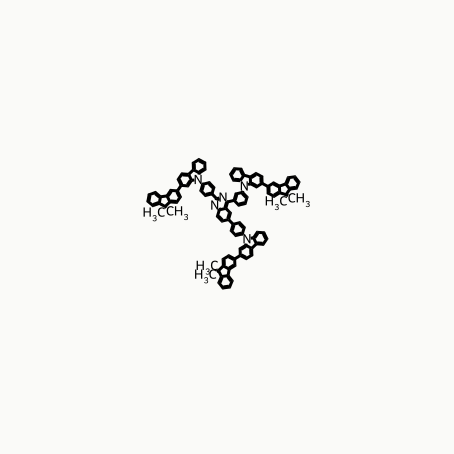 CC1(C)c2ccccc2-c2cc(-c3ccc4c5ccccc5n(-c5ccc(-c6ccc7nc(-c8ccc(-n9c%10ccccc%10c%10ccc(-c%11ccc%12c(c%11)-c%11ccccc%11C%12(C)C)cc%109)cc8)nc(-c8cccc(-n9c%10ccccc%10c%10ccc(-c%11ccc%12c(c%11)-c%11ccccc%11C%12(C)C)cc%109)c8)c7c6)cc5)c4c3)ccc21